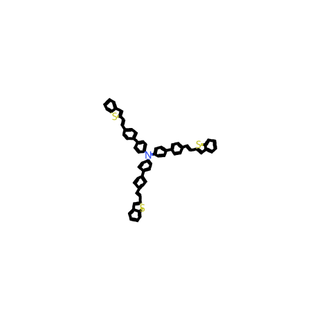 C(=C\c1cc2ccccc2s1)/c1ccc(-c2ccc(N(c3ccc(-c4ccc(/C=C/c5cc6ccccc6s5)cc4)cc3)c3ccc(-c4ccc(/C=C/c5cc6ccccc6s5)cc4)cc3)cc2)cc1